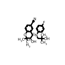 CC(C)(O)CN(c1ccc(F)cc1)[C@H]1c2cc(C#N)ccc2OC(C)(C)[C@@H]1O